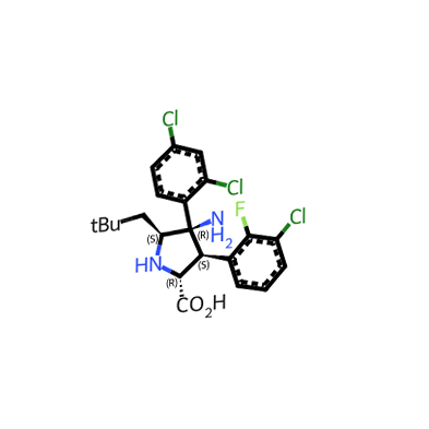 CC(C)(C)C[C@@H]1N[C@@H](C(=O)O)[C@H](c2cccc(Cl)c2F)[C@@]1(N)c1ccc(Cl)cc1Cl